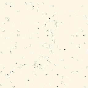 CC(C)c1ccc(NNCc2ccc(Cl)cc2)cc1.Cl